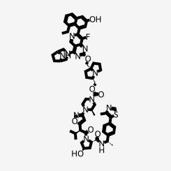 CCc1cccc2cc(O)cc(-c3ncc4c(N5CC6CCC(C5)N6)nc(OC[C@]56CCCN5[C@H](COC(=O)N5CCN(c7cc([C@@H](C(=O)N8C[C@H](O)C[C@H]8C(=O)N[C@@H](C)c8ccc(-c9scnc9C)cc8)C(C)C)on7)[C@H](C)C5)CC6)nc4c3F)c12